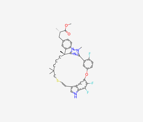 COC(=O)[C@@H](C)Cc1cccc([C@@]2(C)CCCC(C)(C)CS/C=C/c3c[nH]c4c(F)c(F)c(cc34)Oc3ccc(F)c(c3)-c3nc2nn3C)c1